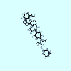 O=C(CCc1cccnc1)Nc1ccc(N2CCN(C(=O)Nc3c(Cl)cccc3Cl)CC2)cc1